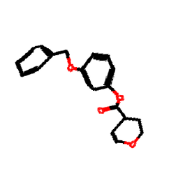 O=C(Oc1cccc(OCc2ccccc2)c1)C1CCOCC1